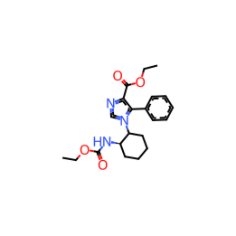 CCOC(=O)N[C@@H]1CCCCC1n1cnc(C(=O)OCC)c1-c1ccccc1